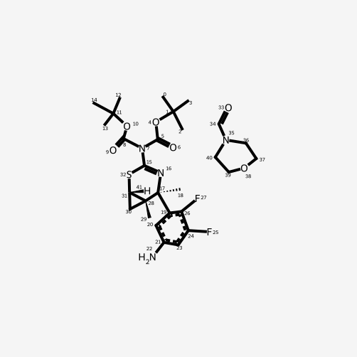 CC(C)(C)OC(=O)N(C(=O)OC(C)(C)C)C1=N[C@@](C)(c2cc(N)cc(F)c2F)[C@]2(C)C[C@@H]2S1.O=CN1CCOCC1